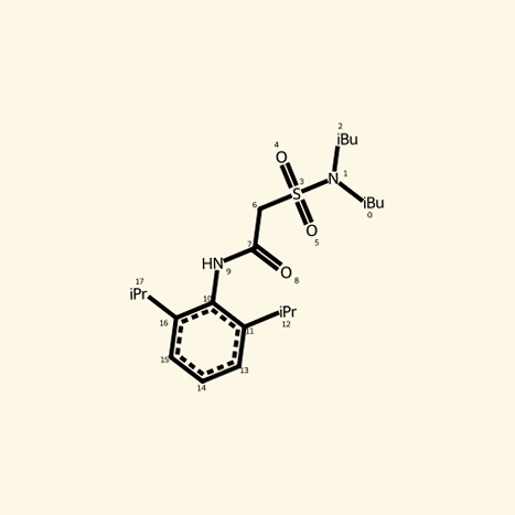 CCC(C)N(C(C)CC)S(=O)(=O)CC(=O)Nc1c(C(C)C)cccc1C(C)C